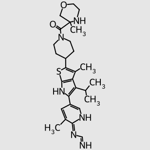 Cc1cc(-c2[nH]c3sc(C4CCN(C(=O)C5(C)COCCN5)CC4)c(C)c3c2C(C)C)c[nH]/c1=N\C=N